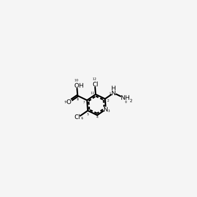 NNc1ncc(Cl)c(C(=O)O)c1Cl